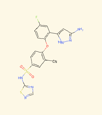 N#Cc1cc(S(=O)(=O)Nc2ncns2)ccc1Oc1ccc(F)cc1-c1cc(N)n[nH]1